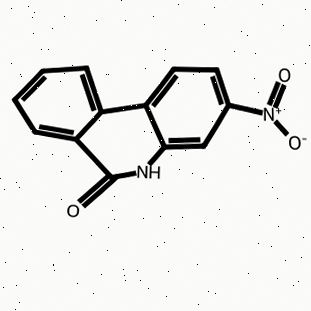 O=c1[nH]c2cc([N+](=O)[O-])ccc2c2ccccc12